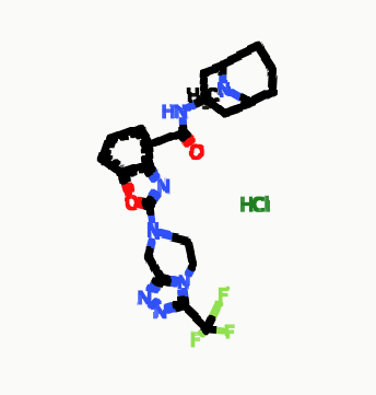 CN1C2CCCC1CC(NC(=O)c1cccc3oc(N4CCn5c(nnc5C(F)(F)F)C4)nc13)C2.Cl